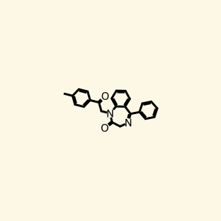 Cc1ccc(C(=O)CN2C(=O)CN=C(c3ccccc3)c3ccccc32)cc1